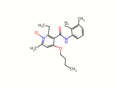 CCCCOc1cc(C)[n+]([O-])c(CC)c1C(=O)Nc1cccc(C)c1C